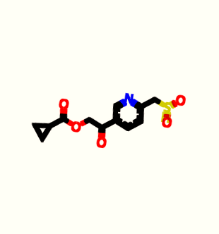 O=C(COC(=O)C1CC1)c1ccc(C[SH](=O)=O)nc1